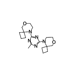 Cc1nc(N2CCOCC23CCC3)nc(N2CCOCC23CCC3)n1